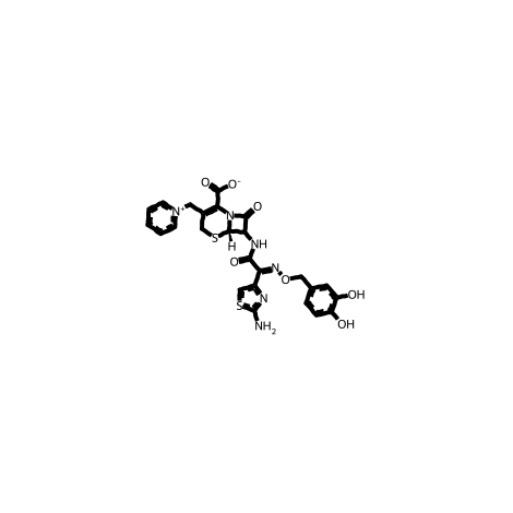 Nc1nc(C(=NOCc2ccc(O)c(O)c2)C(=O)NC2C(=O)N3C(C(=O)[O-])=C(C[n+]4ccccc4)CS[C@@H]23)cs1